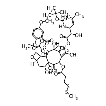 C=C1C2=C(C)[C@@H](OC(=O)[C@H](O)[C@H](C=C(C)C)NC(=O)OC(C)(C)C)C[C@@]1(O)[C@@H](OC(=O)c1cc(OC)ccc1OC)[C@@H]1[C@]3(OC(C)=O)CO[C@@H]3C[C@H](O)[C@@]1(C)C(=O)[C@@H]2OC(=O)CCSSC